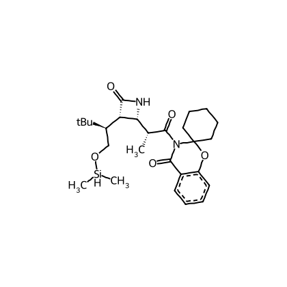 C[C@@H](C(=O)N1C(=O)c2ccccc2OC12CCCCC2)[C@H]1NC(=O)[C@H]1[C@@H](CO[SiH](C)C)C(C)(C)C